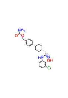 NC(=O)OCc1ccc([C@H]2CC[C@@H](C/C(=N/O)Nc3cccc(Cl)c3)CC2)cc1